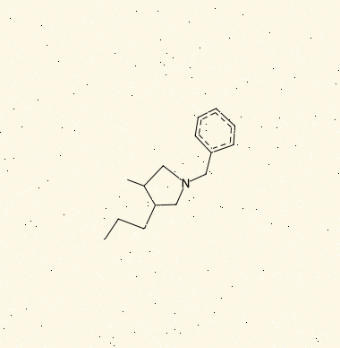 CCCC1CN(Cc2ccccc2)CC1C